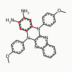 COc1ccc(N(c2ccc(N)cc2)c2nc3ccccc3nc2N(c2ccc(N)cc2)c2ccc(OC)cc2)cc1